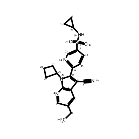 CCc1cnc2c(c1)c(C#N)c(-c1ccc(S(=O)(=O)NC3CC3)cn1)n2C1CCC1